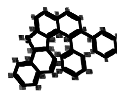 c1ccc(-c2ccc3ccc4sc5c6ccccc6ccc5c4c3c2-c2ccccc2)cc1